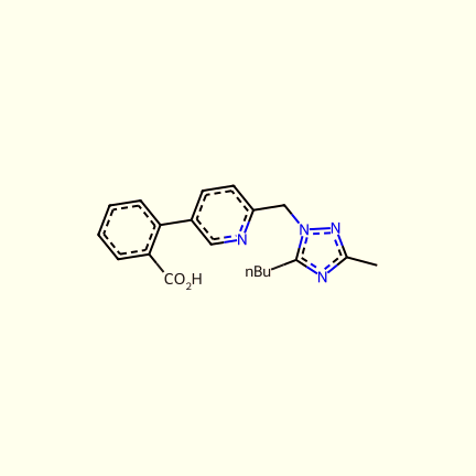 CCCCc1nc(C)nn1Cc1ccc(-c2ccccc2C(=O)O)cn1